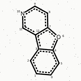 c1ccc2c(c1)oc1ccncc12